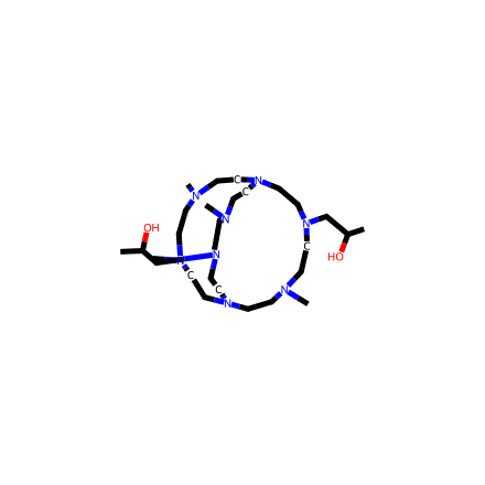 CC(O)CN1CCN(C)CCN2CCN(C)CCN(C)CCN(CCN(C)CCN(CC(C)O)CC2)CC1